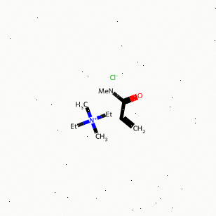 C=CC(=O)NC.CC[N+](C)(C)CC.[Cl-]